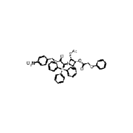 CC(=O)S[C@@H]1[C@@H](OC(=O)COc2ccccc2)C(=O)N1C(C(=O)OCc1ccc([N+](=O)[O-])cc1)=P(c1ccccc1)(c1ccccc1)c1ccccc1